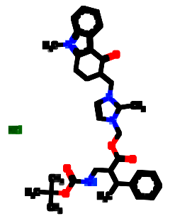 CC(c1ccccc1)C(CNC(=O)OC(C)(C)C)C(=O)OCN1C=CN(CC2CCc3c(c4ccccc4n3C)C2=O)C1C.Cl